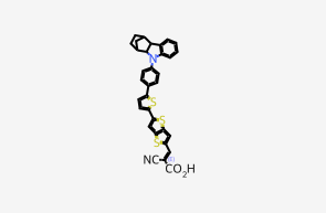 N#C/C(=C\c1cc2sc(-c3ccc(-c4ccc(N5c6ccccc6C6C7CCC(C7)C65)cc4)s3)cc2s1)C(=O)O